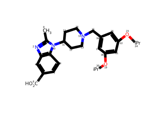 Cc1nc2cc(C(=O)O)ccc2n1C1CCN(Cc2cc(OC(C)C)cc(OC(C)C)c2)CC1